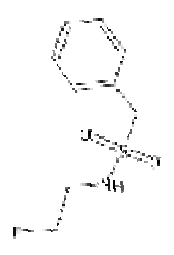 O=S(=O)(Cc1ccccc1)NCCF